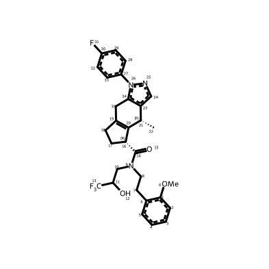 COc1ccccc1CCN(CC(O)C(F)(F)F)C(=O)[C@@H]1CCC2=C1[C@@H](C)c1cnn(-c3ccc(F)cc3)c1C2